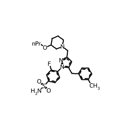 CCCOC1CCCN(Cc2cc(Cc3cccc(C)c3)n(-c3ccc(S(N)(=O)=O)cc3F)n2)C1